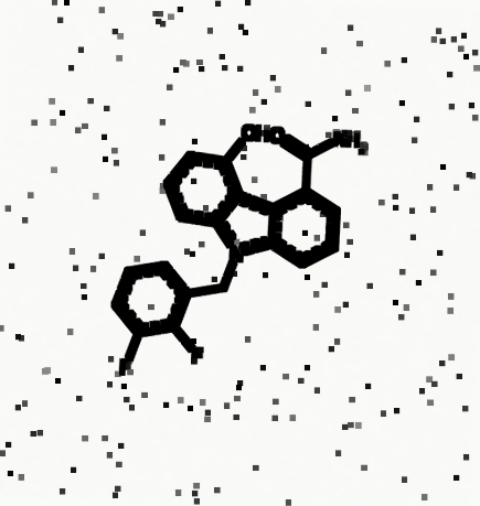 NC(=O)c1cccc2c1c1c(O)cccc1n2Cc1cccc(F)c1F